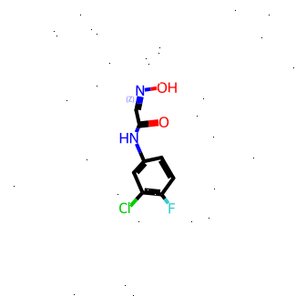 O=C(/C=N\O)Nc1ccc(F)c(Cl)c1